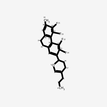 CCCC1=COC(c2cc3c(c(F)c2F)-c2c(cc(C)c(F)c2F)CC3)CC1